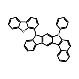 c1ccc(-n2c3cc4c(cc3c3c5ccccc5ccc32)c2ccccc2n4-c2cccc3c2oc2ccccc23)cc1